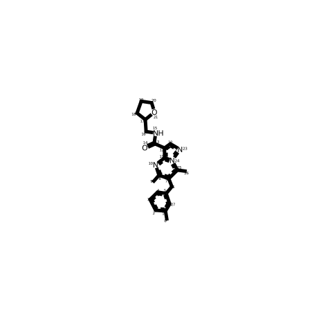 Cc1cccc(Cc2c(C)nc3c(C(=O)NCC4CCCO4)cnn3c2C)c1